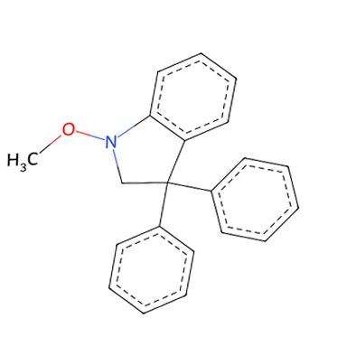 CON1CC(c2ccccc2)(c2ccccc2)c2ccccc21